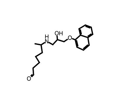 CC(CCCCC=O)NCC(O)COc1cccc2ccccc12